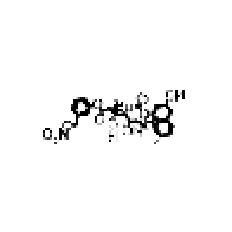 CC[C@H](C)C(=O)O[C@H]1C[C@H](O)C=C2C=C[C@H](C)[C@H](CC[C@@H](O)C[C@@H](O)CC(=O)Oc3cccc(CO[N+](=O)[O-])c3)[C@H]21